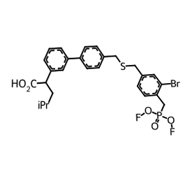 CC(C)CC(C(=O)O)c1cccc(-c2ccc(CSCc3ccc(CP(=O)(OF)OF)c(Br)c3)cc2)c1